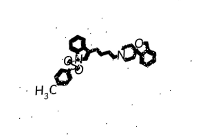 Cc1ccc(S(=O)(=O)n2cc(CCCCN3CCC4(CC3)OCc3ccccc34)c3ccccc32)cc1